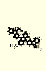 Cc1ccc2c(-c3ccc4c(c3)c3ccccc3n4C)c3ccccc3c(-c3ccc4c(c3)C(C)(C)c3ccccc3-4)c2c1